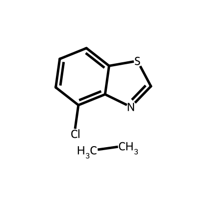 CC.Clc1cccc2scnc12